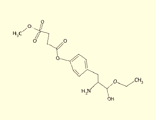 CCOC(O)C(N)Cc1ccc(OC(=O)CCS(=O)(=O)OC)cc1